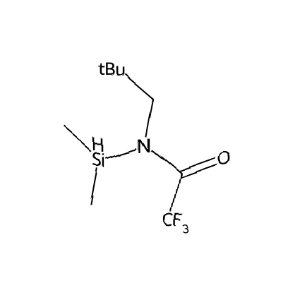 C[SiH](C)N(CC(C)(C)C)C(=O)C(F)(F)F